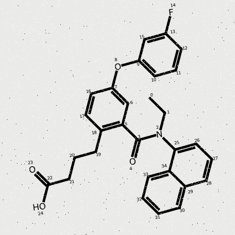 CCN(C(=O)c1cc(Oc2cccc(F)c2)ccc1CCCC(=O)O)c1cccc2ccccc12